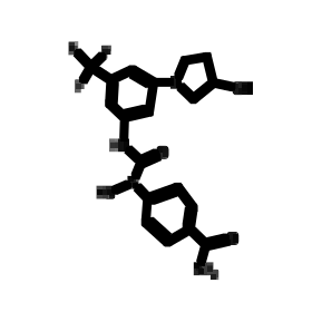 NC(=O)c1ccc(N(S)C(=O)Nc2cc(N3CCC(O)C3)cc(C(F)(F)F)c2)cc1